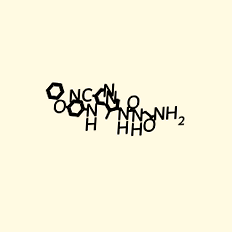 Cc1c(NC(=O)NCC(N)=O)cn2ncc(C#N)c(Nc3ccc(Oc4ccccc4)cc3)c12